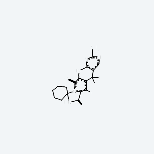 Cc1c2c(c(=O)n3c1C(=O)NC31CCCCC1)Nc1nc(N)ncc1C2(F)F